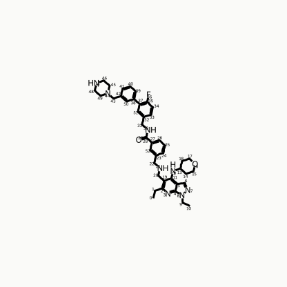 CCc1nc2c(cnn2CC)c(NC2CCOCC2)c1CNCc1cccc(C(=O)NCc2ccc(F)c(-c3cccc(CN4CCNCC4)c3)c2)c1